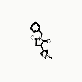 Cn1cc(C2CC(=O)N(Cc3ccccc3)C2=O)cn1